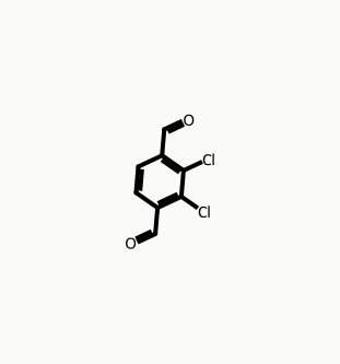 O=Cc1ccc(C=O)c(Cl)c1Cl